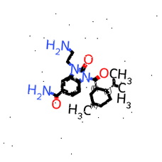 CC(C)[C@@H]1CC[C@@H](C)C[C@H]1C(=O)n1c(=O)n(CCN)c2cc(C(N)=O)ccc21